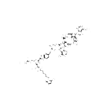 CC(C)[C@H](NC(=O)CCCCCN1C(=O)C=CC1=O)C(=O)N[C@@H](CCCNC(N)=O)C(=O)Nc1ccc(COC(=O)N(C)CCOC(=O)O[C@@H]2[C@@H]3O[P@](=O)(S)OC[C@H]4O[C@@H](n5cnc6c(N)ncnc65)[C@H](O[P@](=O)(S)OC[C@H]3O[C@H]2n2cnc3c(N)ncnc32)[C@@H]4O)cc1